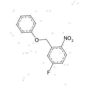 O=[N+]([O-])c1ccc(F)cc1COc1ccccc1